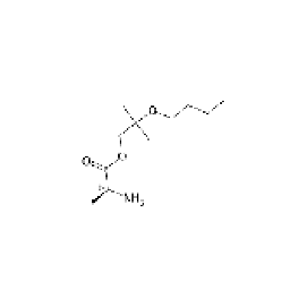 CCCCOC(C)(C)COC(=O)[C@H](C)N